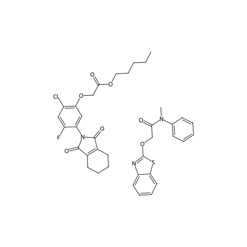 CCCCCOC(=O)COc1cc(N2C(=O)C3=C(CCCC3)C2=O)c(F)cc1Cl.CN(C(=O)COc1nc2ccccc2s1)c1ccccc1